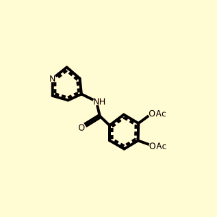 CC(=O)Oc1ccc(C(=O)Nc2ccncc2)cc1OC(C)=O